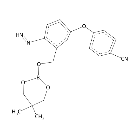 CC1(C)COB(OCc2cc(Oc3ccc(C#N)cc3)ccc2N=N)OC1